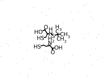 CC(C)(C)SN[C@@H](CS)C(=O)O.N[C@@H](CCS)C(=O)O